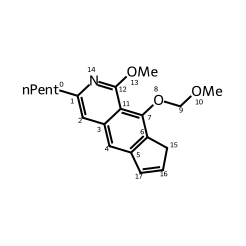 CCCCCc1cc2cc3c(c(OCOC)c2c(OC)n1)CC=C3